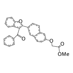 COC(=O)COc1ccc2cc(-c3oc4ccccc4c3C(=O)c3ccccc3)ccc2c1